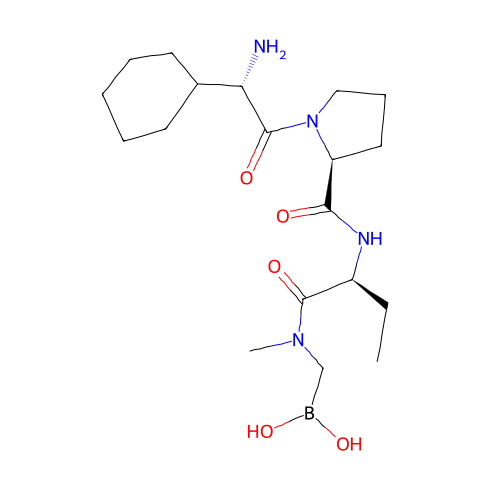 CC[C@H](NC(=O)[C@@H]1CCCN1C(=O)[C@@H](N)C1CCCCC1)C(=O)N(C)CB(O)O